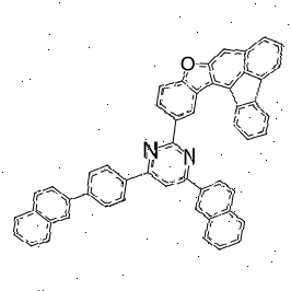 c1ccc2c(c1)-c1cccc3cc4oc5ccc(-c6nc(-c7ccc(-c8ccc9ccccc9c8)cc7)cc(-c7ccc8ccccc8c7)n6)cc5c4c-2c13